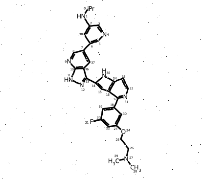 CC(C)Nc1cncc(-c2cnc3[nH]nc(-c4cc5c(-c6cc(F)cc(OCCN(C)C)c6)nccc5[nH]4)c3c2)c1